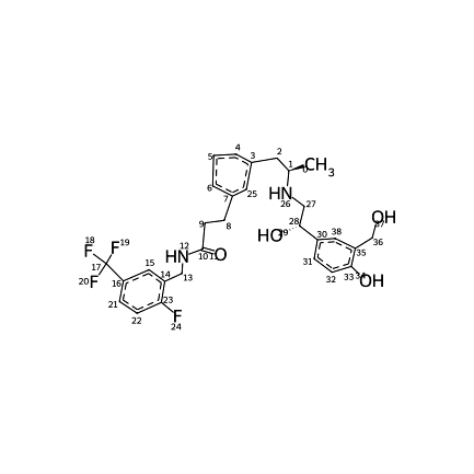 C[C@H](Cc1cccc(CCC(=O)NCc2cc(C(F)(F)F)ccc2F)c1)NC[C@@H](O)c1ccc(O)c(CO)c1